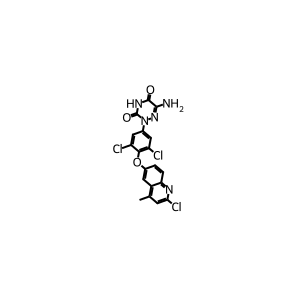 Cc1cc(Cl)nc2ccc(Oc3c(Cl)cc(-n4nc(N)c(=O)[nH]c4=O)cc3Cl)cc12